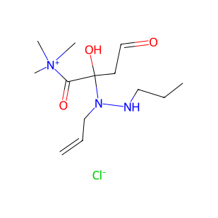 C=CCN(NCCC)C(O)(CC=O)C(=O)[N+](C)(C)C.[Cl-]